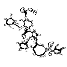 O=C(O)N1CCN(C(=O)c2ncn(C3CCCN(S(=O)(=O)c4cccs4)C3)c2-c2ccccc2)[C@H](Cc2ccccc2)C1